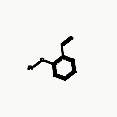 C=Cc1c[c]ccc1OC(C)C